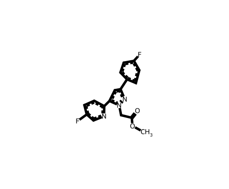 COC(=O)Cn1nc(-c2ccc(F)cc2)cc1-c1ccc(F)cn1